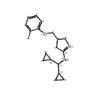 Cc1ccccc1OCC1CN=C(NC(C2CC2)C2CC2)C1